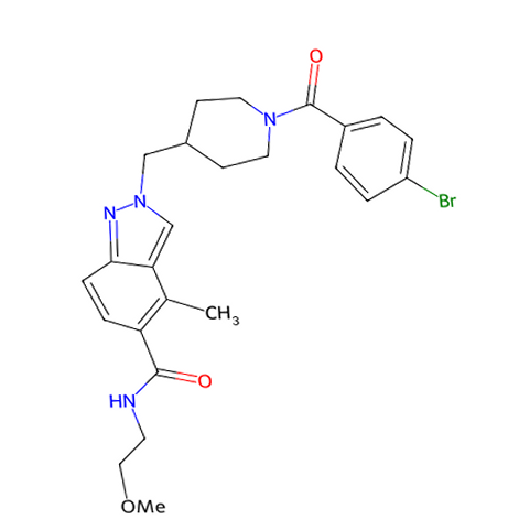 COCCNC(=O)c1ccc2nn(CC3CCN(C(=O)c4ccc(Br)cc4)CC3)cc2c1C